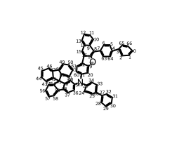 c1ccc(-c2ccc(-c3c4ccccc4cc4c3oc3cc(N(c5ccc(-c6ccccc6)cc5)c5ccc6c(c5)C5(c7ccccc7-c7ccccc75)c5ccccc5-6)ccc34)cc2)cc1